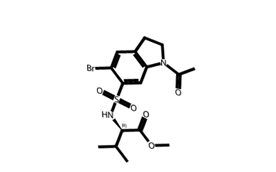 COC(=O)[C@H](NS(=O)(=O)c1cc2c(cc1Br)CCN2C(C)=O)C(C)C